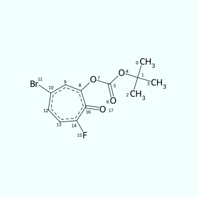 CC(C)(C)OC(=O)Oc1cc(Br)ccc(F)c1=O